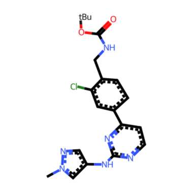 Cn1cc(Nc2nccc(-c3ccc(CNC(=O)OC(C)(C)C)c(Cl)c3)n2)cn1